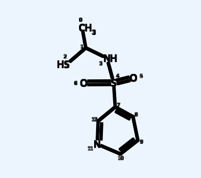 CC(S)NS(=O)(=O)c1cccnc1